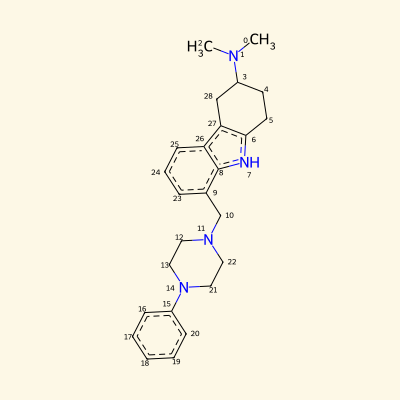 CN(C)C1CCc2[nH]c3c(CN4CCN(c5ccccc5)CC4)cccc3c2C1